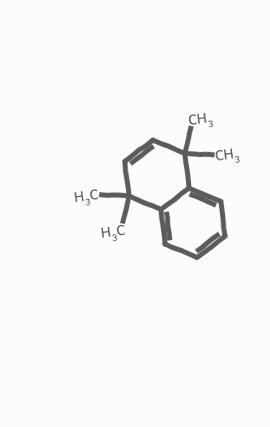 CC1(C)C=CC(C)(C)c2ccccc21